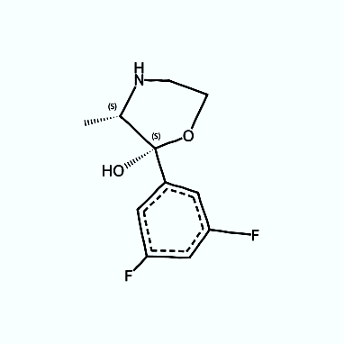 C[C@@H]1NCCO[C@@]1(O)c1cc(F)cc(F)c1